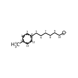 Cc1ccc(CCCCCC[O])cc1